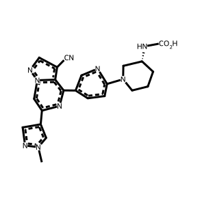 Cn1cc(-c2cn3ncc(C#N)c3c(-c3ccc(N4CCC[C@@H](NC(=O)O)C4)nc3)n2)cn1